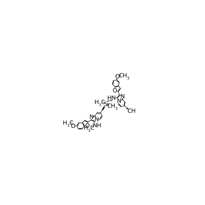 C#Cc1ccn2c(NCC[Si](C)(C)C#Cc3ccn4c(NC)c(-c5cc6cc(OC)ccc6o5)nc4c3)c(-c3cc4cc(OC)ccc4o3)nc2c1